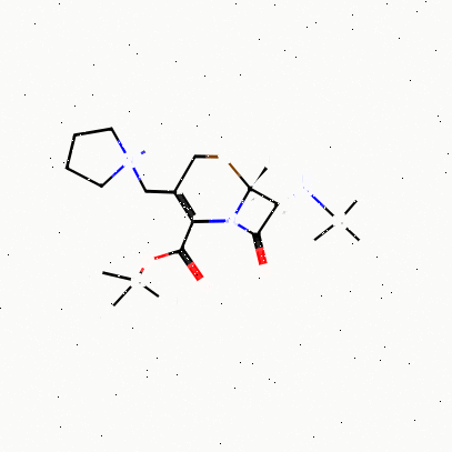 C[N+]1(CC2=C(C(=O)O[Si](C)(C)C)N3C(=O)[C@@H](N[Si](C)(C)C)[C@H]3SC2)CCCC1